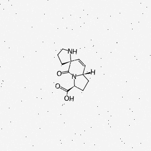 O=C(O)[C@@H]1CC[C@H]2C=C[C@]3(CCCN3)C(=O)N21